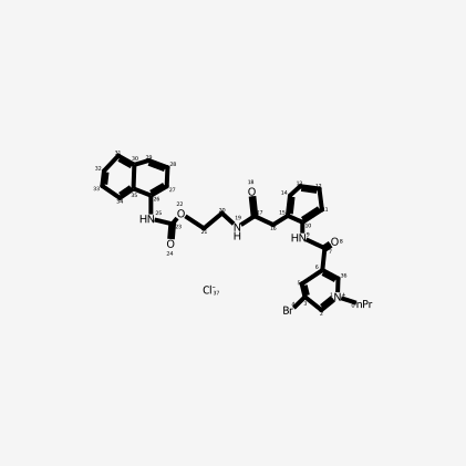 CCC[n+]1cc(Br)cc(C(=O)Nc2ccccc2CC(=O)NCCOC(=O)Nc2cccc3ccccc23)c1.[Cl-]